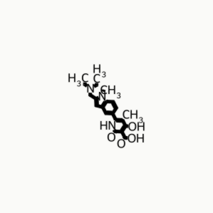 CCN(CC)Cc1cc2cc(-c3[nH]c(=O)c(C(=O)O)c(O)c3C)ccc2n1C